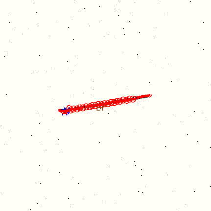 CCCCCCCCC=CCCCCCCCCOCCOCCOCCOCCOCCOCCOCCOCCOCCOCCOCCOCCOCCOCCOCCOCCOCCOCCOCCOCCOC(=O)CCN1CC[N+](C)(CCCCCC)CC1.[Br-]